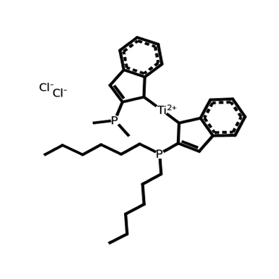 CCCCCCP(CCCCCC)C1=Cc2ccccc2[CH]1[Ti+2][CH]1C(P(C)C)=Cc2ccccc21.[Cl-].[Cl-]